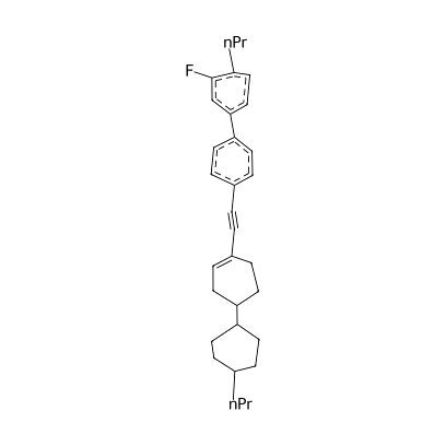 CCCc1ccc(-c2ccc(C#CC3=CCC(C4CCC(CCC)CC4)CC3)cc2)cc1F